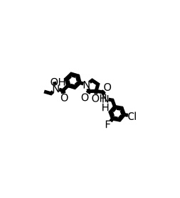 CCN(O)C(=O)c1cccc(N2CCC(O)(C(=O)NCc3cc(F)cc(Cl)c3)C2=O)c1